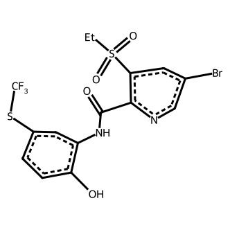 CCS(=O)(=O)c1cc(Br)cnc1C(=O)Nc1cc(SC(F)(F)F)ccc1O